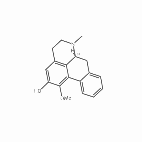 COc1c(O)cc2c3c1-c1ccccc1C[C@H]3N(C)CC2